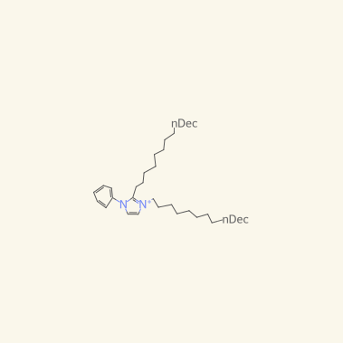 CCCCCCCCCCCCCCCCCCc1n(-c2ccccc2)cc[n+]1CCCCCCCCCCCCCCCCCC